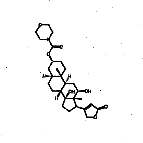 C[C@]12CC[C@H](OC(=O)N3CCOCC3)C[C@H]1CC[C@@H]1[C@@H]2C[C@@H](O)[C@]2(C)[C@@H](C3=CC(=O)OC3)CC[C@]12O